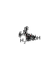 C[C@@H]1CN(c2nc(NN)nc3c2ncn3CCN(C)C(=O)O)[C@@H](C)CN1C(c1ccc(C(F)(F)F)cc1)c1ccc(C(F)(F)F)cn1